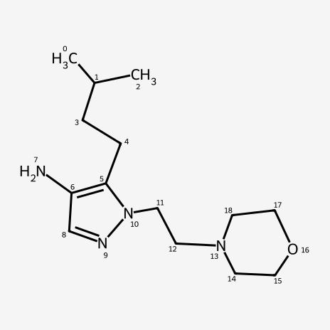 CC(C)CCc1c(N)cnn1CCN1CCOCC1